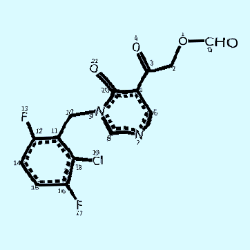 O=COCC(=O)c1cncn(Cc2c(F)ccc(F)c2Cl)c1=O